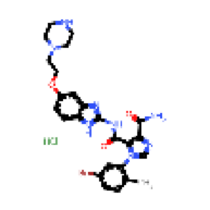 Cc1ccc(Br)cc1-n1cnc(C(N)=O)c1C(=O)Nc1nc2cc(OCCN3CCNCC3)ccc2[nH]1.Cl